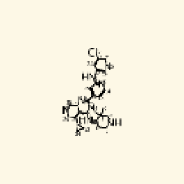 CC1(C)CNCC[C@@H]1Nc1nc(-c2ccnc(Nc3cncc(Cl)c3)c2)nc2cncc(C3CC3)c12